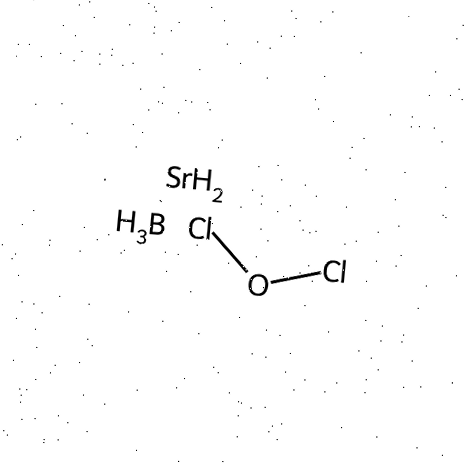 B.ClOCl.[SrH2]